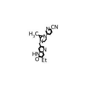 CCc1cc2ncc(CN3CCN(c4ccc(C#N)nc4)C4C(C)C43)cc2[nH]c1=O